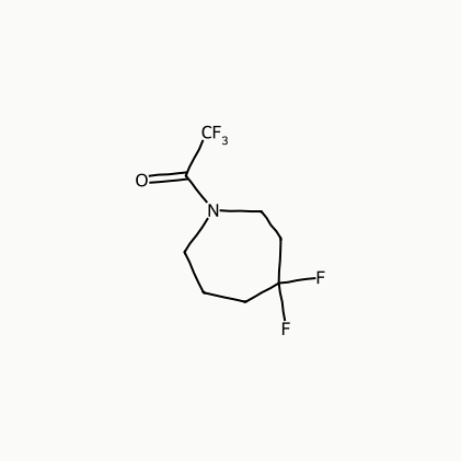 O=C(N1CCCC(F)(F)CC1)C(F)(F)F